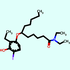 CCCCCC(CCCCC(=O)N(CC)CC)Oc1ccc(I)c(O)c1CC